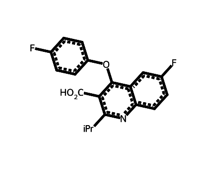 CC(C)c1nc2ccc(F)cc2c(Oc2ccc(F)cc2)c1C(=O)O